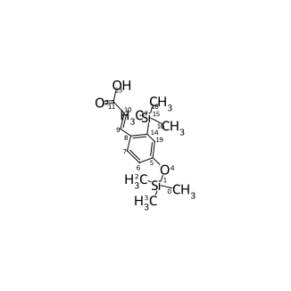 C[Si](C)(C)Oc1ccc(C=CC(=O)O)c([Si](C)(C)C)c1